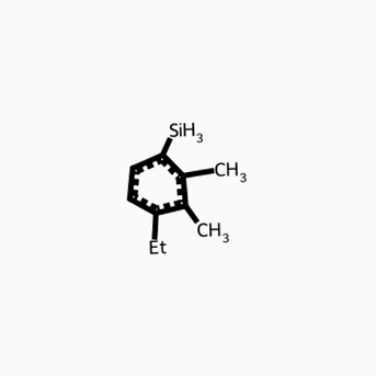 CCc1ccc([SiH3])c(C)c1C